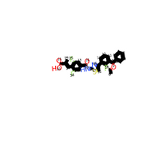 CCOC(c1ccccc1)c1cccc(-c2csc(NC(=O)c3cc(F)c(C=C(C)C(=O)O)c(F)c3)n2)c1F